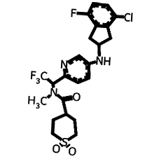 CN(C(=O)C1CCS(=O)(=O)CC1)C(c1ccc(NC2Cc3c(F)ccc(Cl)c3C2)cn1)C(F)(F)F